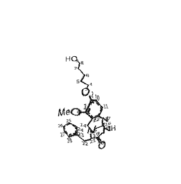 COc1c(OCCCCCO)ccc2c1CN1C(=N2)NC(=O)C1Cc1ccccc1